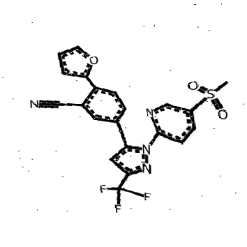 CS(=O)(=O)c1ccc(-n2nc(C(F)(F)F)cc2-c2ccc(-c3ccco3)c(C#N)c2)nc1